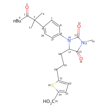 CCCCC(=O)C(C)(C)c1ccc(N2C(=O)N(C)C(=O)C2CCCc2ccc(C(=O)O)s2)cc1